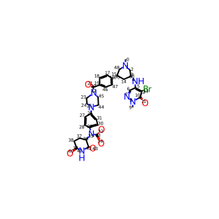 CN1C[C@H](Nc2cnn(C)c(=O)c2Br)C[C@H](c2ccc(C(=O)N3CCN(c4ccc5c(c4)oc(=O)n5C4CCC(=O)NC4=O)CC3)cc2)C1